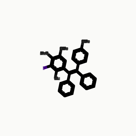 COc1ccc(C(=C(c2ccccc2)c2cc(OC)c(OC)c(I)c2C(C)(C)C)c2ccccc2)cc1